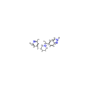 Cc1cc(C[C@H]2CCCN(C(C)c3ccc4nn(C)cc4c3)C2)cc(C)n1